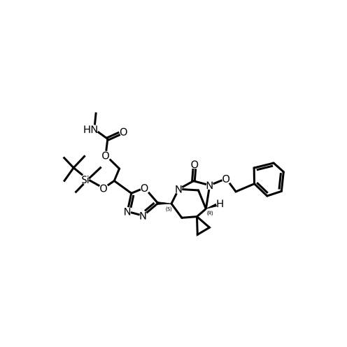 CNC(=O)OCC(O[Si](C)(C)C(C)(C)C)c1nnc([C@@H]2CC3(CC3)[C@@H]3CN2C(=O)N3OCc2ccccc2)o1